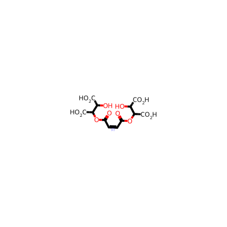 O=C(/C=C\C(=O)OC(C(=O)O)C(O)C(=O)O)OC(C(=O)O)C(O)C(=O)O